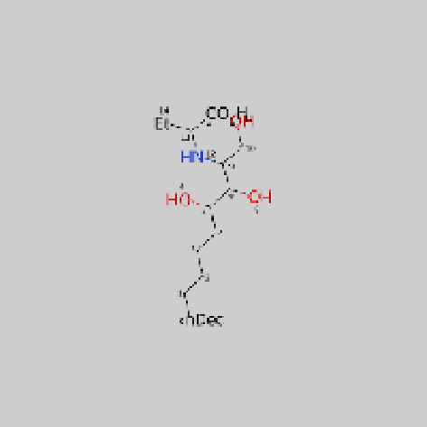 CCCCCCCCCCCCCCC(O)C(O)C(CO)NC(CC)C(=O)O